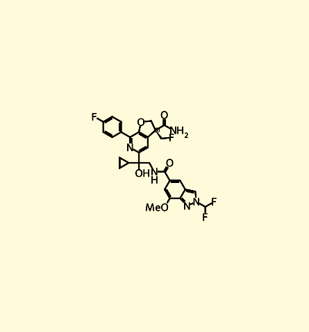 COc1cc(C(=O)NCC(O)(c2cc3c(c(-c4ccc(F)cc4)n2)OC[C@]3(CF)C(N)=O)C2CC2)cc2cn(C(F)F)nc12